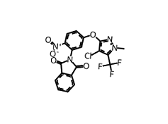 Cn1nc(Oc2ccc([N+](=O)[O-])c(N3C(=O)c4ccccc4C3=O)c2)c(Cl)c1C(F)(F)F